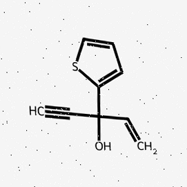 C#CC(O)(C=C)c1cccs1